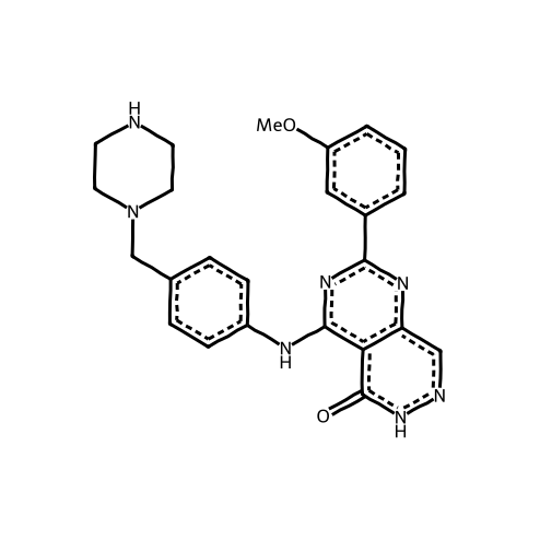 COc1cccc(-c2nc(Nc3ccc(CN4CCNCC4)cc3)c3c(=O)[nH]ncc3n2)c1